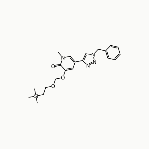 Cn1cc(-c2cn(Cc3ccccc3)nn2)cc(OCOCC[Si](C)(C)C)c1=O